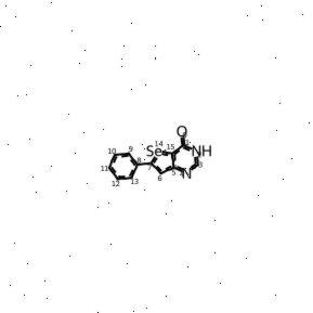 O=c1[nH]cnc2cc(-c3ccccc3)[se]c12